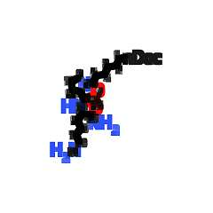 CCCCCCCCCCCCCCCC(=O)N1CCCC1C(=O)NC(CCCCN)C(N)=O